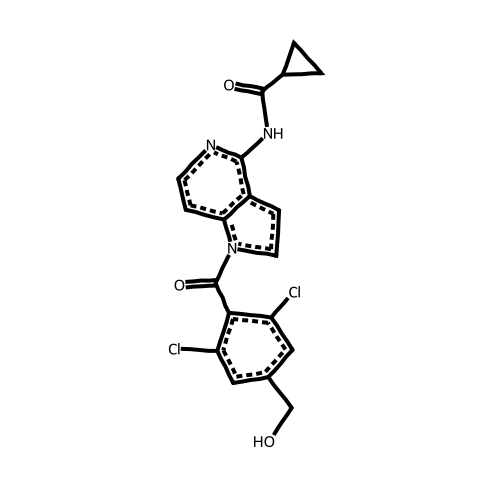 O=C(Nc1nccc2c1ccn2C(=O)c1c(Cl)cc(CO)cc1Cl)C1CC1